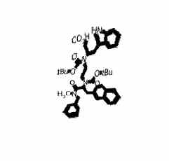 CN(Cc1ccccc1)C(=O)C(Cc1ccc2ccccc2c1)N(CCN(C(=O)OC(C)(C)C)C(CC(=O)O)Cc1c[nH]c2ccccc12)C(=O)OC(C)(C)C